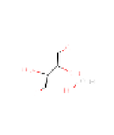 O=S(=O)(O)O.OCC(O)C(O)CO